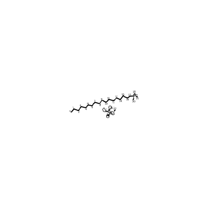 CCCCCCCCCCCCCCCCCC[P+](C)(C)C.COS(=O)(=O)[O-]